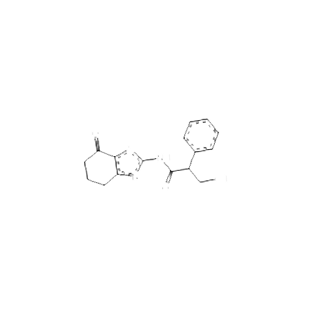 CCC(C(=O)Nc1nc2c(s1)C(=O)CCC2)c1ccccc1